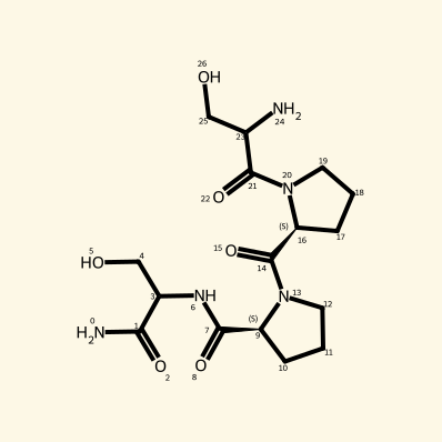 NC(=O)C(CO)NC(=O)[C@@H]1CCCN1C(=O)[C@@H]1CCCN1C(=O)C(N)CO